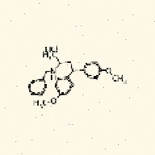 COc1ccc(C(CC(C)NCc2ccccc2)c2ccc(OC)cc2)cc1.Cl